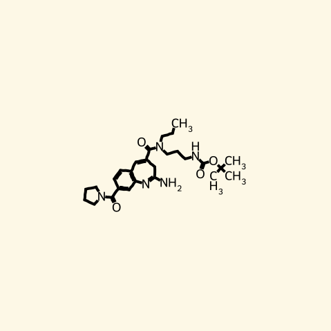 CCCN(CCCNC(=O)OC(C)(C)C)C(=O)C1=Cc2ccc(C(=O)N3CCCC3)cc2N=C(N)C1